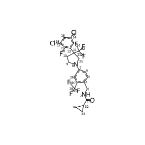 O=C(NCc1ccc(N2CCC(c3cc(Cl)cc(Cl)c3F)(C(F)(F)F)C2)cc1C(F)(F)F)C1CC1